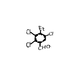 CCc1c(Cl)cc([C]=O)c(Cl)c1Cl